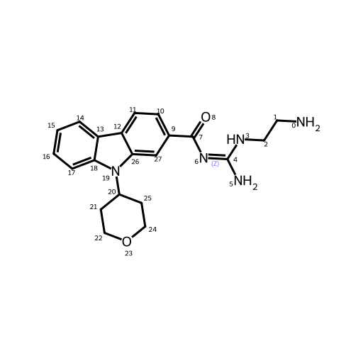 NCCN/C(N)=N\C(=O)c1ccc2c3ccccc3n(C3CCOCC3)c2c1